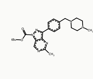 Cc1ncc2c(n1)c(-c1ccc(CN3CCN(C)CC3)cc1)nn2C(=O)OC(C)(C)C